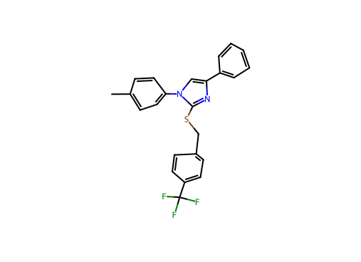 Cc1ccc(-n2cc(-c3ccccc3)nc2SCc2ccc(C(F)(F)F)cc2)cc1